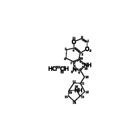 C1=COC2=C(CCc3nc(CC4CC5CCC(C4)N5)[nH]c32)O1.Cl.Cl